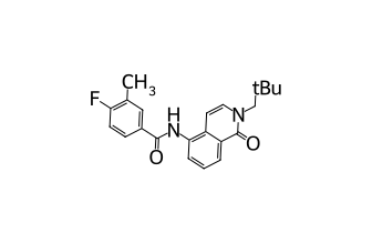 Cc1cc(C(=O)Nc2cccc3c(=O)n(CC(C)(C)C)ccc23)ccc1F